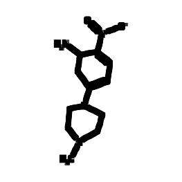 CN1CCN(C2=CC=C([N+](=O)[O-])C(N)C2)CC1